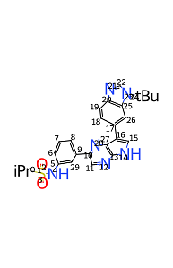 CC(C)S(=O)(=O)Nc1cccc(-c2cnc3[nH]cc(-c4ccc5ncn(C(C)(C)C)c5c4)c3n2)c1